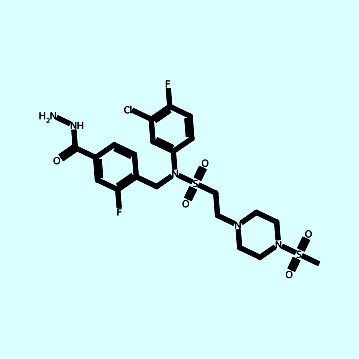 CS(=O)(=O)N1CCN(CCS(=O)(=O)N(Cc2ccc(C(=O)NN)cc2F)c2ccc(F)c(Cl)c2)CC1